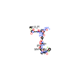 CC[C@H](C)[C@@H]([C@@H](CC(=O)N1CCC[C@H]1[C@H](OC)[C@@H](C)C(=O)NCCc1c(F)cccc1F)OC)N(C)C(=O)[C@@H](NC(=O)[C@H](C(C)C)N(C)C(=O)OCc1ccc(NC(=O)[C@H](CCCNC(N)=O)NC(=O)[C@@H](NC(=O)CCCCCN2C(=O)CC(SCC3(CC(=O)O)CC3)C2=O)C(C)C)cc1)C(C)C